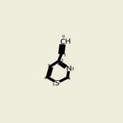 C#CC1=NCSC=C1